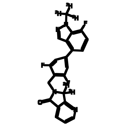 [2H]C1([2H])c2ncccc2C(=O)N1Cc1c(F)cc(-c2ccc(F)c3c2cnn3C([2H])([2H])[2H])cc1F